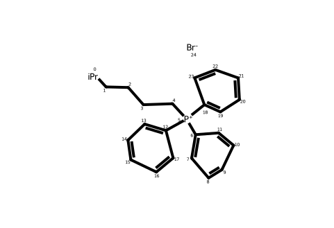 CC(C)CCCC[P+](c1ccccc1)(c1ccccc1)c1ccccc1.[Br-]